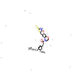 COc1ccc(CC(=O)N2CCOc3ccc(C=C4SC(=S)NC4=O)cc32)cc1OC